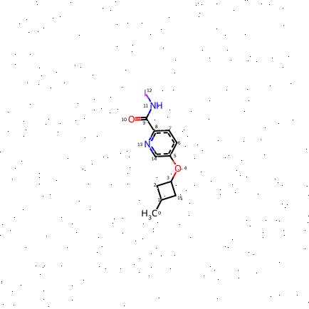 CC1CC(Oc2ccc(C(=O)NI)nc2)C1